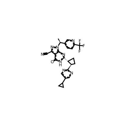 C[C@@H](c1ccc(C(F)(F)F)nc1)n1nc(C#N)c2c(=O)[nH]c([C@@H]3CC[C@H]3c3ncc(C4CC4)cn3)nc21